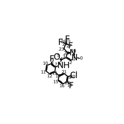 Cn1cc(C(=O)Nc2c(F)cccc2-c2ccc(F)c(Cl)c2)c(CC(F)(F)F)n1